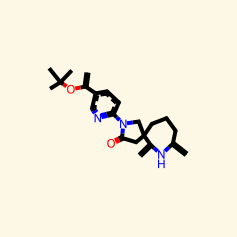 C=C1CCCC2(CC(=O)N(c3ccc(C(=C)OC(C)(C)C)cn3)C2)C(=C)N1